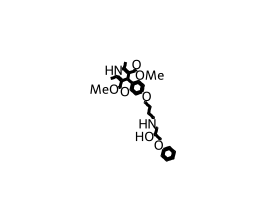 COC(=O)C1=C(C)NC(C)=C(C(=O)OC)C1c1ccc(OCCCCNCC(O)COc2ccccc2)cc1